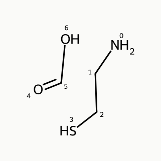 NCCS.O=CO